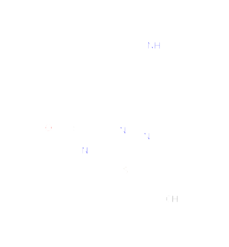 CCc1nn2c(C3=CCNCC3)cc(=O)nc2s1